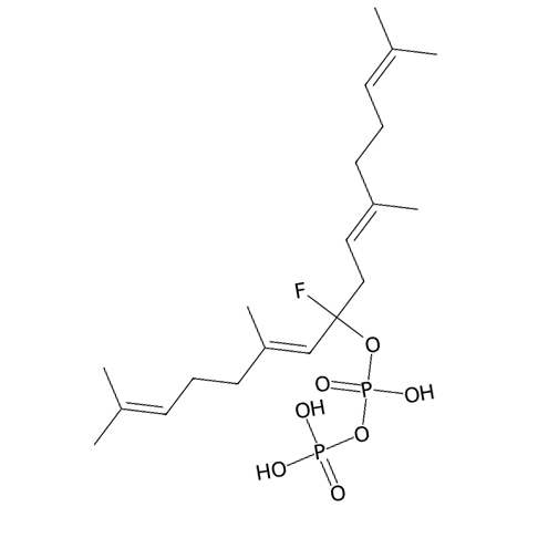 CC(C)=CCC/C(C)=C/CC(F)(/C=C(\C)CCC=C(C)C)OP(=O)(O)OP(=O)(O)O